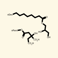 CCCCCCCCCCCCCCCCCC(=O)OCC(O)CO.CCCCCOC(=O)CC(O)(CC(=O)O)C(=O)O